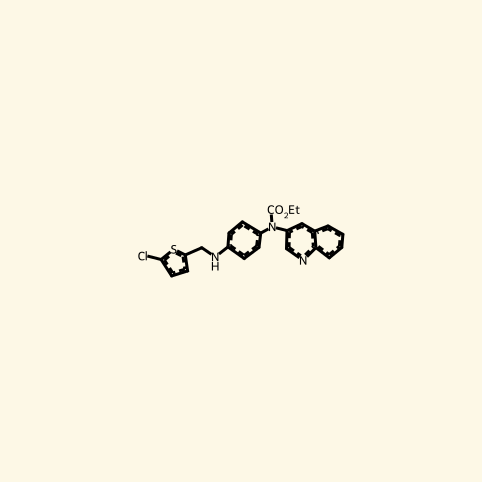 CCOC(=O)N(c1ccc(NCc2ccc(Cl)s2)cc1)c1cnc2ccccc2c1